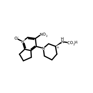 O=C(O)N[C@H]1CCCN(c2c([N+](=O)[O-])c[n+]([O-])c3c2CCC3)C1